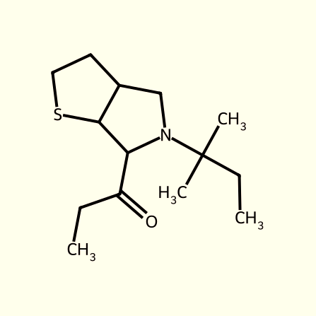 CCC(=O)C1C2SCCC2CN1C(C)(C)CC